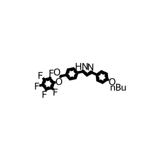 CCCCOc1ccc(-c2cc(-c3ccc(C(=O)Oc4c(F)c(F)c(F)c(F)c4F)cc3)[nH]n2)cc1